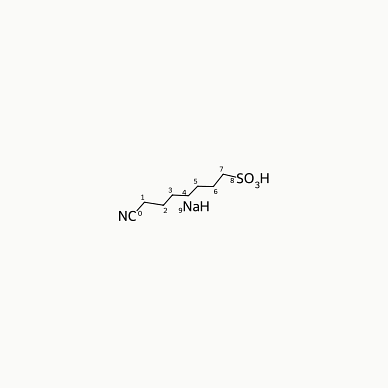 N#CCCCCCCCS(=O)(=O)O.[NaH]